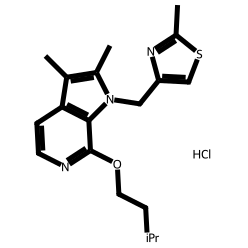 Cc1nc(Cn2c(C)c(C)c3ccnc(OCCC(C)C)c32)cs1.Cl